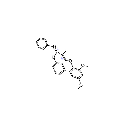 COc1ccc(O/C=C(C)/C(=N/c2ccccc2)Oc2ccccc2)c(OC)c1